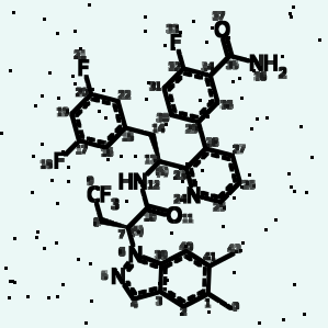 Cc1cc2cnn([C@@H](CC(F)(F)F)C(=O)N[C@@H](Cc3cc(F)cc(F)c3)c3ncccc3-c3ccc(F)c(C(N)=O)c3)c2cc1C